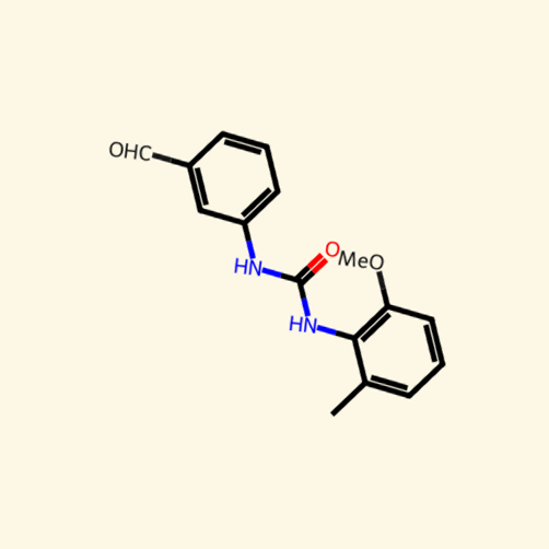 COc1cccc(C)c1NC(=O)Nc1cccc(C=O)c1